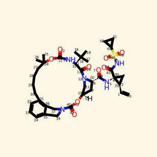 C=C[C@@H]1C[C@]1(NC(=O)[C@@H]1C[C@@H]2CN1C(=O)[C@H](C(C)(C)C)NC(=O)OC(C)(C)CCCCc1cccc3c1CN(C3)C(=O)O2)C(=O)NS(=O)(=O)C1CC1